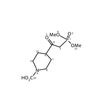 COP(=O)(CC(=O)C1CCN(C(=O)O)CC1)OC